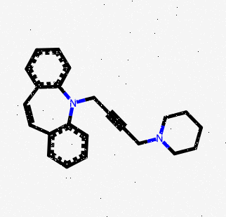 C(#CCN1c2ccccc2C=Cc2ccccc21)CN1CCCCC1